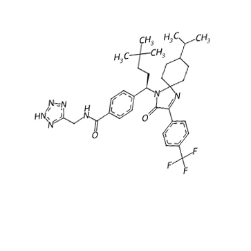 CC(C)C1CCC2(CC1)N=C(c1ccc(C(F)(F)F)cc1)C(=O)N2[C@H](CCC(C)(C)C)c1ccc(C(=O)NCc2nn[nH]n2)cc1